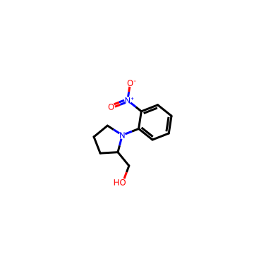 O=[N+]([O-])c1ccccc1N1CCCC1CO